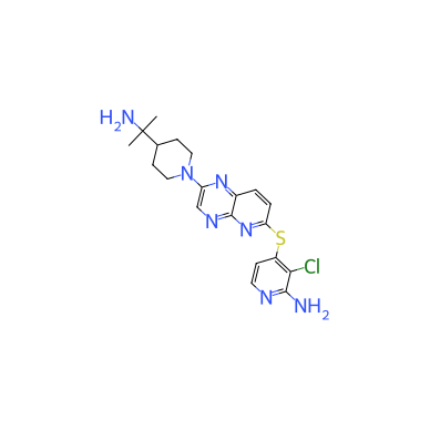 CC(C)(N)C1CCN(c2cnc3nc(Sc4ccnc(N)c4Cl)ccc3n2)CC1